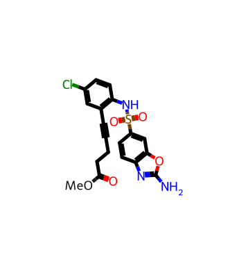 COC(=O)CCC#Cc1cc(Cl)ccc1NS(=O)(=O)c1ccc2nc(N)oc2c1